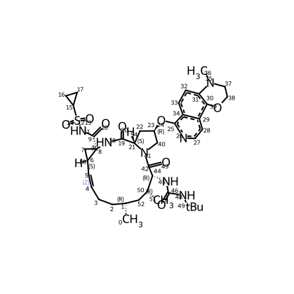 C[C@@H]1CC/C=C\[C@@H]2C[C@@]2(C(=O)NS(=O)(=O)C2CC2)NC(=O)[C@@H]2C[C@@H](Oc3nccc4c5c(ccc34)N(C)CCO5)CN2C(=O)[C@H](NC(=O)NC(C)(C)C)[C@H](C)C1